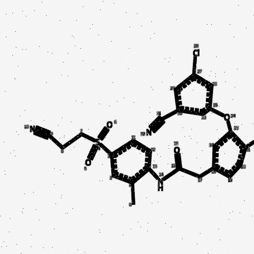 Cc1cc(S(=O)(=O)CCC#N)ccc1NC(=O)Cc1ccc(C)c(Oc2cc(Cl)cc(C#N)c2)c1